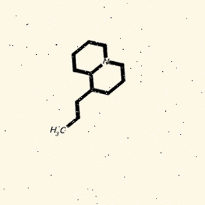 CCCC1CCCN2CCCCC12